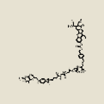 CCc1c2c(nc3ccc(OC(=O)OCc4ccc(SSC[C@H](NC(=O)CNC(=O)CNC(=O)CNC(=O)CCCNC(=O)c5ccc(NCc6cnc7nc(N)[nH]c(=O)c7n6)cc5)C(=O)O)cc4)cc13)C1CC([C@H](O)C=O)=C(COC)C(=O)N1C2